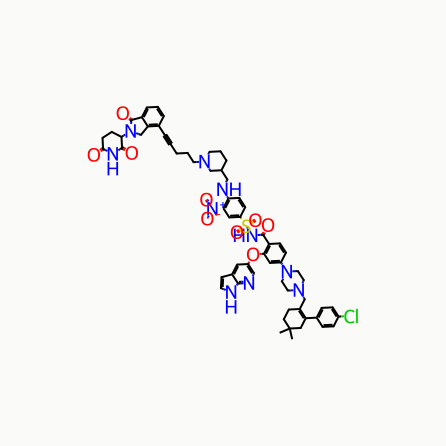 CC1(C)CCC(CN2CCN(c3ccc(C(=O)NS(=O)(=O)c4ccc(NCC5CCCN(CCCC#Cc6cccc7c6CN(C6CCC(=O)NC6=O)C7=O)C5)c([N+](=O)[O-])c4)c(Oc4cnc5[nH]ccc5c4)c3)CC2)=C(c2ccc(Cl)cc2)C1